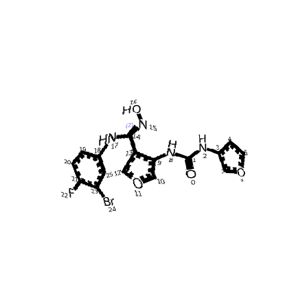 O=C(Nc1ccoc1)Nc1cocc1/C(=N/O)Nc1ccc(F)c(Br)c1